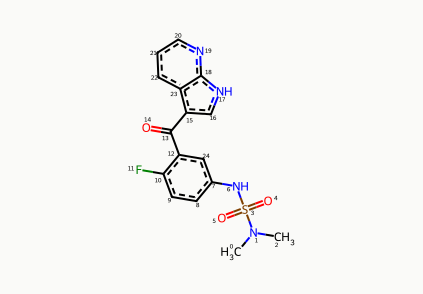 CN(C)S(=O)(=O)Nc1ccc(F)c(C(=O)c2c[nH]c3ncccc23)c1